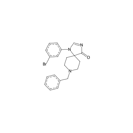 O=C1N=CN(c2cccc(Br)c2)C12CCN(Cc1ccccc1)CC2